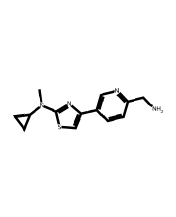 CN(c1nc(-c2ccc(CN)nc2)cs1)C1CC1